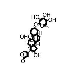 C[C@@H]1O[C@@H](O[C@H]2CC[C@@]3(C=O)[C@H](CC[C@@H]4[C@@H]3CC[C@]3(C)[C@@H](C5=CC(=O)OC5)[C@@H](O)C[C@]43O)C2)[C@H](O)[C@H](O)[C@H]1O